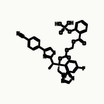 C[C@@H](c1nc(-c2ccc(C#N)cc2)cs1)[C@@](Cn1cncn1)(OC(=O)OCOC(=O)c1ccccc1OP(=O)(O)O)c1ccc(F)cc1F